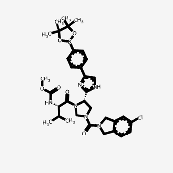 COC(=O)N[C@H](C(=O)N1CN(C(=O)N2Cc3ccc(Cl)cc3C2)C[C@H]1c1nc(-c2ccc(B3OC(C)(C)C(C)(C)O3)cc2)c[nH]1)C(C)C